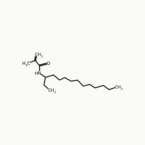 C=C(C)C(=O)NC(CC)CCCCCCCCCCC